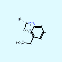 CC(C)[C@H](N)C(=O)O.O=C(O)Cc1ccccc1